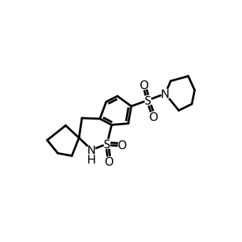 O=S1(=O)NC2(CCCC2)Cc2ccc(S(=O)(=O)N3CCCCC3)cc21